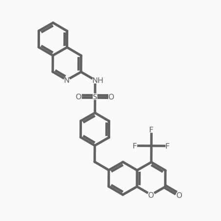 O=c1cc(C(F)(F)F)c2cc(Cc3ccc(S(=O)(=O)Nc4cc5ccccc5cn4)cc3)ccc2o1